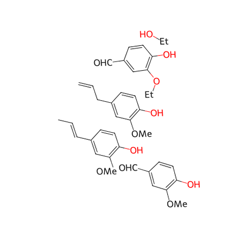 C/C=C/c1ccc(O)c(OC)c1.C=CCc1ccc(O)c(OC)c1.CCO.CCOc1cc(C=O)ccc1O.COc1cc(C=O)ccc1O